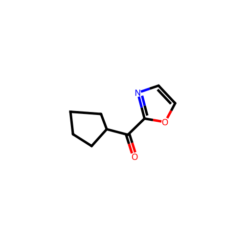 O=C(c1ncco1)C1CCCC1